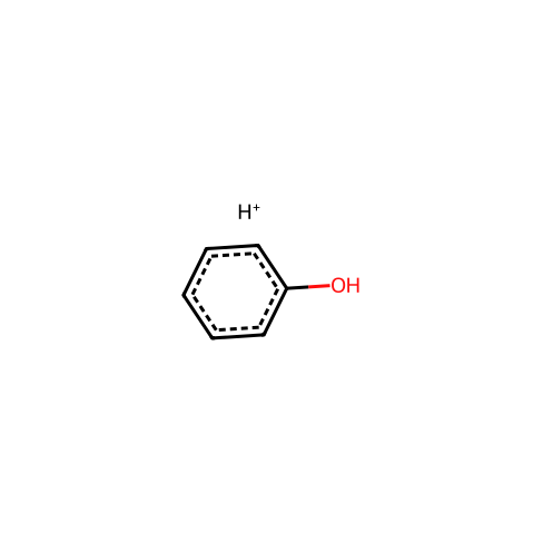 Oc1ccccc1.[H+]